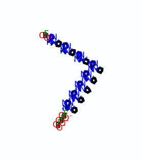 Cn1c[n+](-c2ccccc2)c2nccnc21.Cn1c[n+](-c2ccccc2)c2nccnc21.Cn1c[n+](-c2ccccc2)c2nccnc21.Cn1c[n+](-c2ccccc2)c2nccnc21.Cn1c[n+](-c2ccccc2)c2nccnc21.Cn1c[n+](-c2ccccc2)c2nccnc21.Cn1c[n+](-c2ccccc2)c2nccnc21.Cn1c[n+](-c2ccccc2)c2nccnc21.[O-]B([O-])F.[O-]B([O-])F.[O-]B([O-])F.[O-]B([O-])F